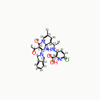 CC(=O)c1c(N2Cc3ccccc3C2)nc2c([C@@H](C)Nc3ccc(Cl)nc3C(=O)O)cc(C)cn2c1=O